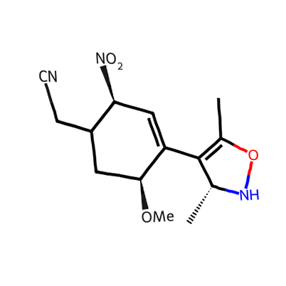 CO[C@H]1CC(CC#N)[C@@H]([N+](=O)[O-])C=C1C1=C(C)ON[C@@H]1C